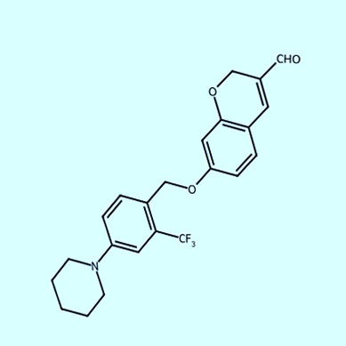 O=CC1=Cc2ccc(OCc3ccc(N4CCCCC4)cc3C(F)(F)F)cc2OC1